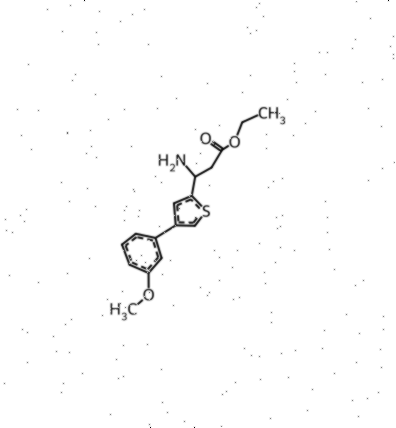 CCOC(=O)CC(N)c1cc(-c2cccc(OC)c2)cs1